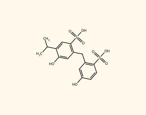 CC(C)c1cc(S(=O)(=O)O)c(Cc2cc(O)ccc2S(=O)(=O)O)cc1O